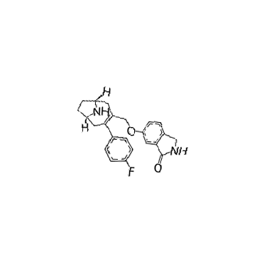 O=C1NCc2ccc(OCC3=C(c4ccc(F)cc4)C[C@@H]4CC[C@H](C3)N4)cc21